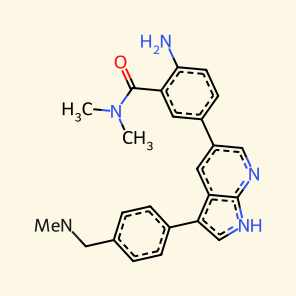 CNCc1ccc(-c2c[nH]c3ncc(-c4ccc(N)c(C(=O)N(C)C)c4)cc23)cc1